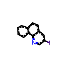 Ic1cnc2c(ccc3ccccc32)c1